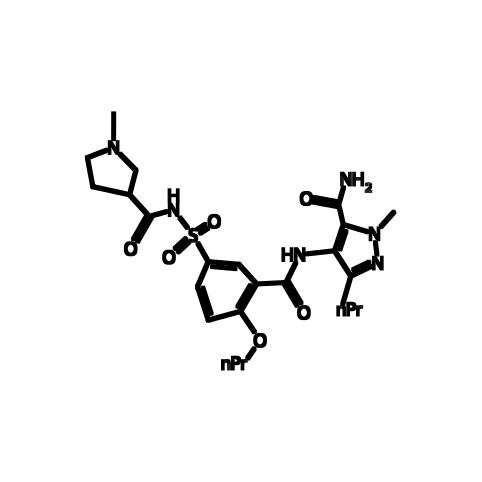 CCCOc1ccc(S(=O)(=O)NC(=O)C2CCN(C)C2)cc1C(=O)Nc1c(CCC)nn(C)c1C(N)=O